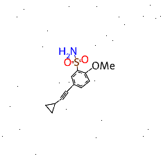 COc1ccc(C#CC2CC2)cc1S(N)(=O)=O